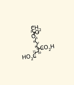 C=CC(=O)OCCCCC(CCC(=O)O)C(=O)O